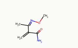 C=C(C(N)=O)/C(C)=N\OC